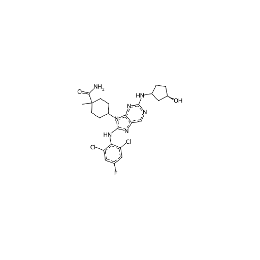 CC1(C(N)=O)CCC(n2c(Nc3c(Cl)cc(F)cc3Cl)nc3cnc(NC4CC[C@@H](O)C4)nc32)CC1